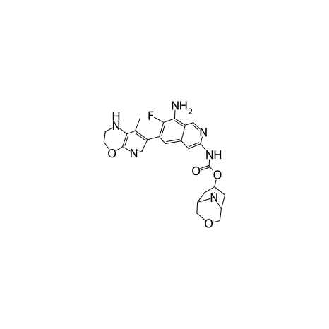 Cc1c(-c2cc3cc(NC(=O)OC4CC5COCC(C4)N5C)ncc3c(N)c2F)cnc2c1NCCO2